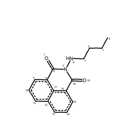 CCCCNN1C(=O)c2cccc3cccc(c23)C1=O